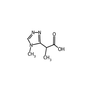 CC(C(=O)O)c1nncn1C